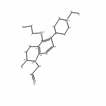 CCCOc1c(C2CCN(CC)CC2)ccc2c1CCC(C)N2CC=O